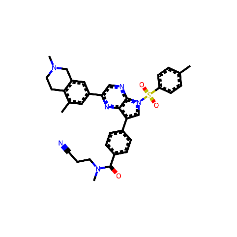 Cc1ccc(S(=O)(=O)n2cc(-c3ccc(C(=O)N(C)CCC#N)cc3)c3nc(-c4cc(C)c5c(c4)CN(C)CC5)cnc32)cc1